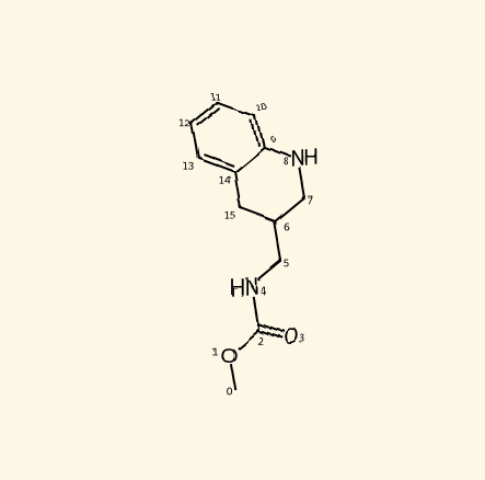 COC(=O)NCC1CNc2ccccc2C1